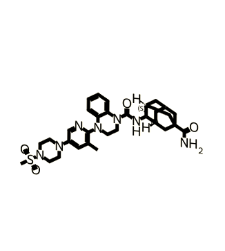 Cc1cc(N2CCN(S(C)(=O)=O)CC2)cnc1N1CCN(C(=O)NC2[C@@H]3CC4C[C@H]2CC(C(N)=O)(C4)C3)c2ccccc21